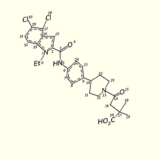 CCn1c(C(=O)Nc2ccc(C3CCN(C(=O)CC(C)(C)C(=O)O)CC3)cc2)cc2c(Cl)c(Cl)ccc21